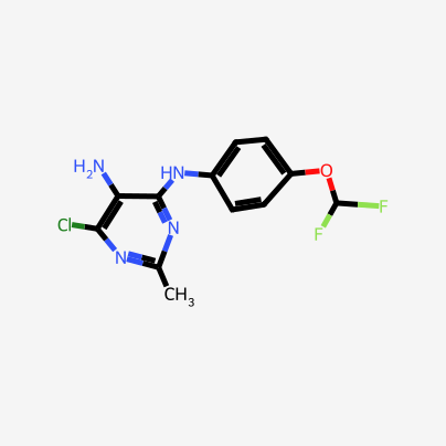 Cc1nc(Cl)c(N)c(Nc2ccc(OC(F)F)cc2)n1